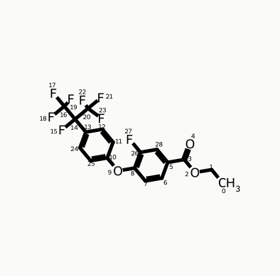 CCOC(=O)c1ccc(Oc2ccc(C(F)(C(F)(F)F)C(F)(F)F)cc2)c(F)c1